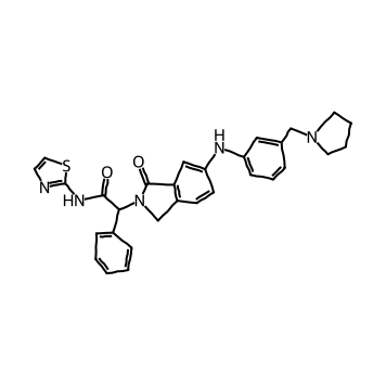 O=C(Nc1nccs1)C(c1ccccc1)N1Cc2ccc(Nc3cccc(CN4CCCC4)c3)cc2C1=O